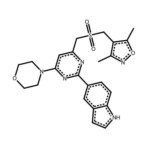 Cc1noc(C)c1CS(=O)(=O)Cc1cc(N2CCOCC2)nc(-c2ccc3[nH]ccc3c2)n1